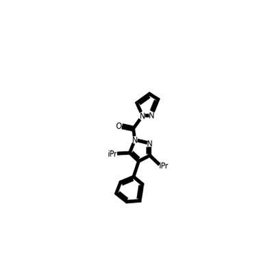 CC(C)c1nn(C(=O)n2cccn2)c(C(C)C)c1-c1ccccc1